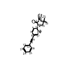 CCN1C(=O)N(c2ccc(C#Cc3ccccc3)cn2)CC1(C)C